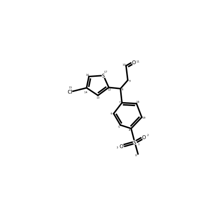 CS(=O)(=O)c1ccc(C(CC=O)c2cc(Cl)cs2)cc1